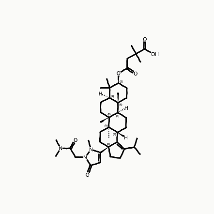 CC(C)C1=C2[C@H]3CC[C@@H]4[C@@]5(C)CC[C@H](OC(=O)CC(C)(C)C(=O)O)C(C)(C)[C@@H]5CC[C@@]4(C)[C@]3(C)CC[C@@]2(c2cc(=O)n(CC(=O)N(C)C)n2C)CC1